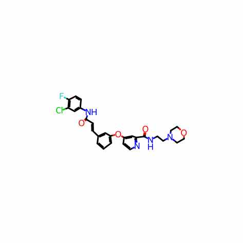 O=C(/C=C/c1cccc(Oc2ccnc(C(=O)NCCN3CCOCC3)c2)c1)Nc1ccc(F)c(Cl)c1